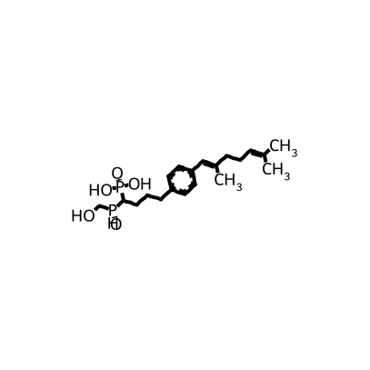 CC(C)=CCC/C(C)=C/c1ccc(CCCC([PH](=O)CO)P(=O)(O)O)cc1